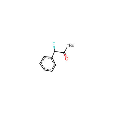 CC(C)(C)C(=O)[C@H](F)c1ccccc1